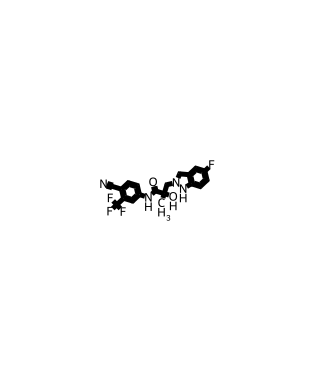 CC(O)(CN1Cc2cc(F)ccc2N1)C(=O)Nc1ccc(C#N)c(C(F)(F)F)c1